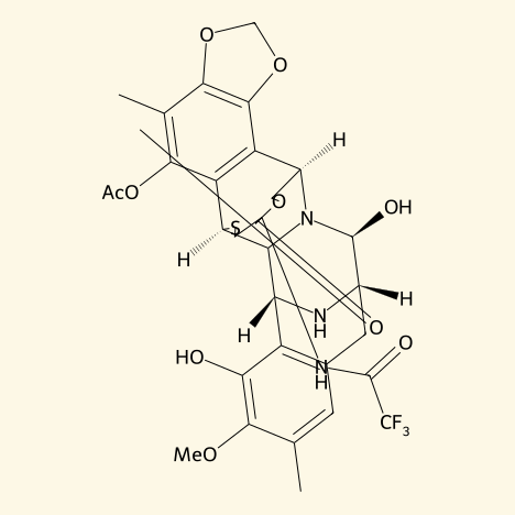 COc1c(C)cc2c(c1O)[C@H]1N[C@@H](C2)[C@H](O)N2C1[C@@H]1SCC(NC(=O)C(F)(F)F)C(=O)OC[C@H]2c2c3c(c(C)c(OC(C)=O)c21)OCO3